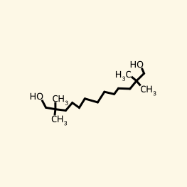 CC(C)(CO)CCCCCCCCCC(C)(C)CO